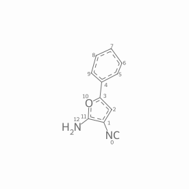 [C-]#[N+]c1cc(-c2ccccc2)oc1N